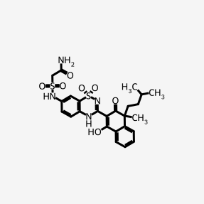 CC(C)CCC1(C)C(=O)C(C2=NS(=O)(=O)c3cc(NS(=O)(=O)CC(N)=O)ccc3N2)=C(O)c2ccccc21